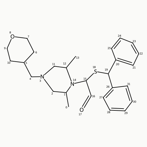 CC1CN(CC2CCOCC2)CC(C)N1C(C=O)SC(c1ccccc1)c1ccccc1